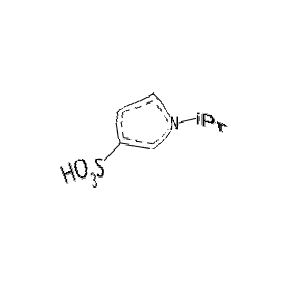 CC(C)n1ccc(S(=O)(=O)O)c1